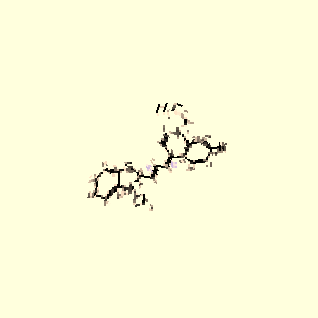 CCN1C=C/C(=C\C=C\c2sc3ccccc3[n+]2C)c2ccc(Br)cc21